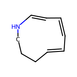 C1=C\C=C\CCCN\C=C/1